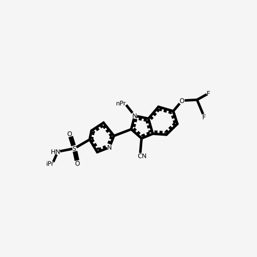 CCCn1c(-c2ccc(S(=O)(=O)NC(C)C)cn2)c(C#N)c2ccc(OC(F)F)cc21